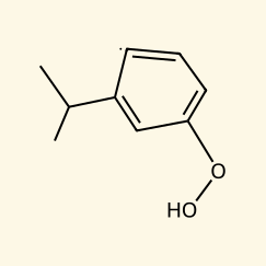 CC(C)c1[c]ccc(OO)c1